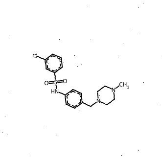 CN1CCN(Cc2ccc(NS(=O)(=O)c3cccc(Cl)c3)cc2)CC1